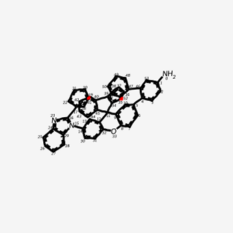 Nc1ccc(-c2ccc3c(c2)C2(c4cc(-n5c(-c6ccccc6)nc6ccccc65)ccc4O3)c3ccccc3-c3ccccc32)c(-c2ccccc2)c1